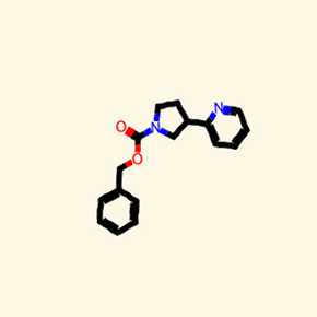 O=C(OCc1ccccc1)N1CCC(c2ccccn2)C1